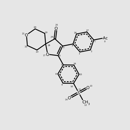 CC(=O)c1ccc(C2=C(c3ccc(S(C)(=O)=O)cc3)OC3(CCOCC3)C2=O)cc1